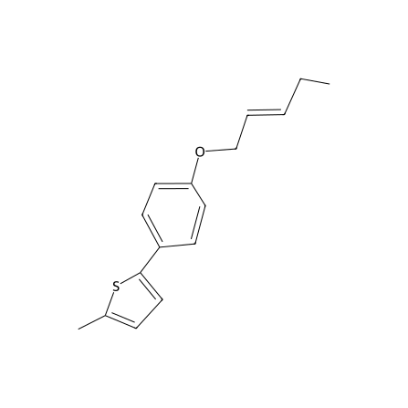 CCC=CCOc1ccc(-c2ccc(C)s2)cc1